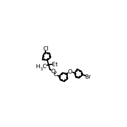 CCC(C)(COCc1cccc(Oc2ccc(Br)cc2)c1)c1ccc(Cl)cc1